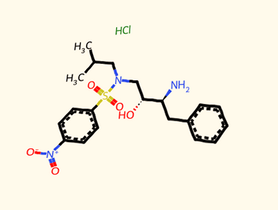 CC(C)CN(C[C@@H](O)[C@@H](N)Cc1ccccc1)S(=O)(=O)c1ccc([N+](=O)[O-])cc1.Cl